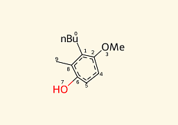 CCCCc1c(OC)ccc(O)c1C